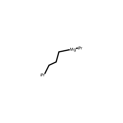 CC(C)CC[CH2][Mg][CH](C)C